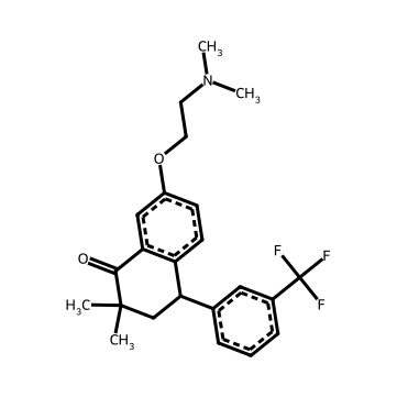 CN(C)CCOc1ccc2c(c1)C(=O)C(C)(C)CC2c1cccc(C(F)(F)F)c1